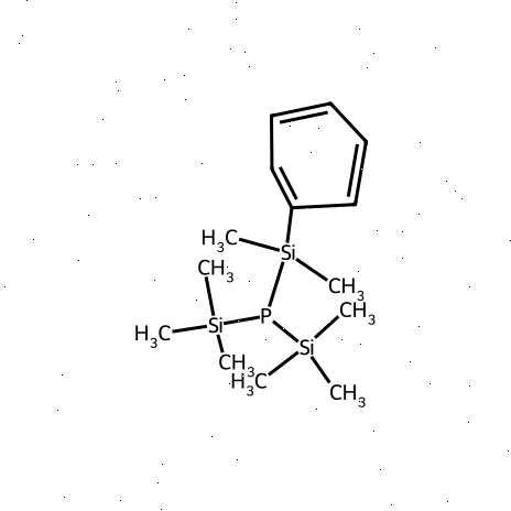 C[Si](C)(C)P([Si](C)(C)C)[Si](C)(C)c1ccccc1